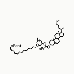 CCCCC/C=C\C/C=C\CCCCCCCCOCC(CN(C)C)OC(CCC)OC1CC[C@@]2(C)C(=CCC3C2CC[C@@]2(C)C3CC[C@@H]2[C@H](C)CCCC(C)C)C1